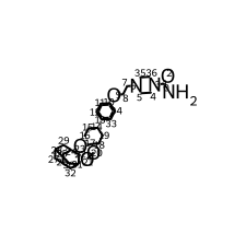 NC(=O)N1CCN(CCOc2ccc([C@H]3CC[C@]4(CC3)OO[C@]3(O4)C4CC5CC(C4)CC3C5)cc2)CC1